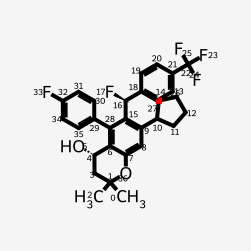 CC1(C)C[C@H](O)c2c(cc(C3CCCC3)c([C@@H](F)c3ccc(C(F)(F)F)cc3)c2-c2ccc(F)cc2)O1